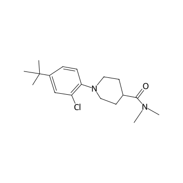 CN(C)C(=O)C1CCN(c2ccc(C(C)(C)C)cc2Cl)CC1